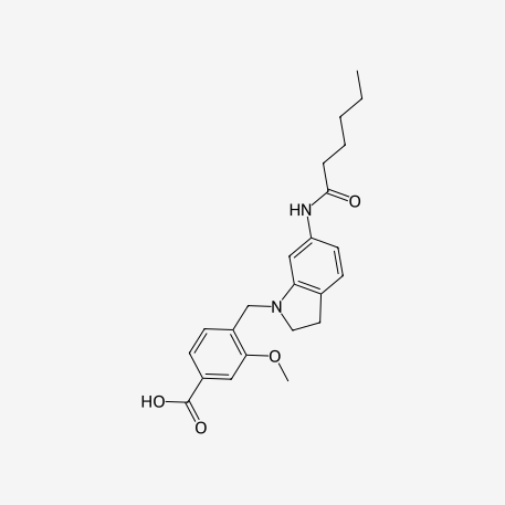 CCCCCC(=O)Nc1ccc2c(c1)N(Cc1ccc(C(=O)O)cc1OC)CC2